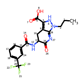 CCCN1NC(C(=O)O)=C2CC(NC(=O)c3cccc(C(F)(F)F)c3)C(=O)N=C21